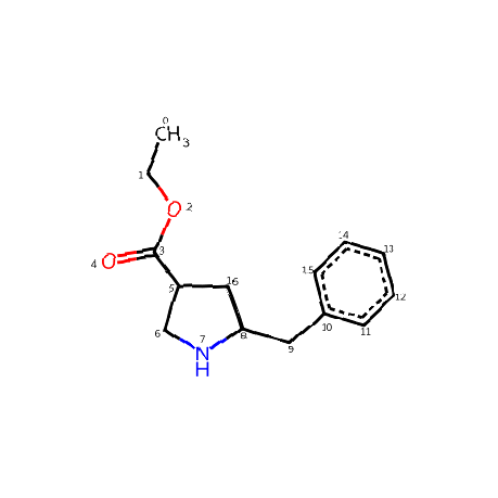 CCOC(=O)C1CNC(Cc2ccccc2)C1